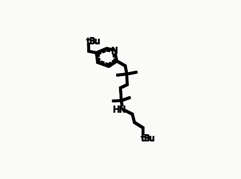 CC(C)(C)CCCNC(C)(C)CCC(C)(C)Cc1ccc(CC(C)(C)C)cn1